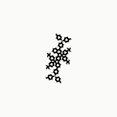 Cc1ccc(N(c2ccc(C)cc2)c2ccc(-c3ccc4c(c3)C(c3ccc(C(C)(C)C)cc3)(c3ccc(C(C)(C)C)cc3)c3cc5c(cc3-4)C(c3ccc(C(C)(C)C)cc3)(c3ccc(C(C)(C)C)cc3)c3cc(-c4ccc(N(c6ccc(C)cc6)c6ccc(C)cc6)cc4)c4ccccc4c3-5)cc2)cc1